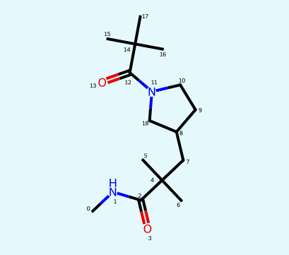 CNC(=O)C(C)(C)CC1CCN(C(=O)C(C)(C)C)C1